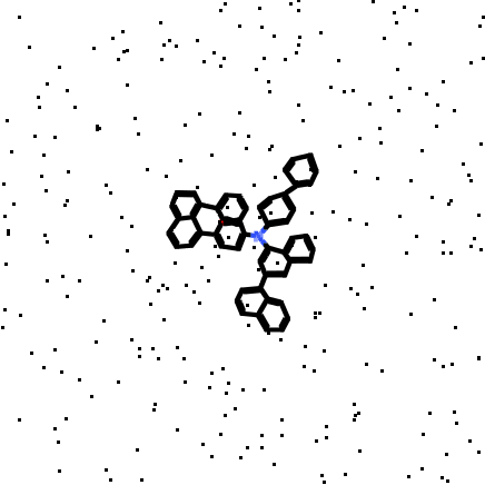 c1ccc(-c2ccc(N(c3ccc(-c4cccc5cccc(-c6ccccc6)c45)cc3)c3cc(-c4cccc5ccccc45)cc4ccccc34)cc2)cc1